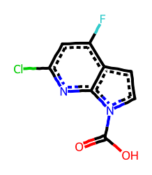 O=C(O)n1ccc2c(F)cc(Cl)nc21